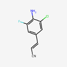 N#CC=Cc1cc(F)c(N)c(Cl)c1